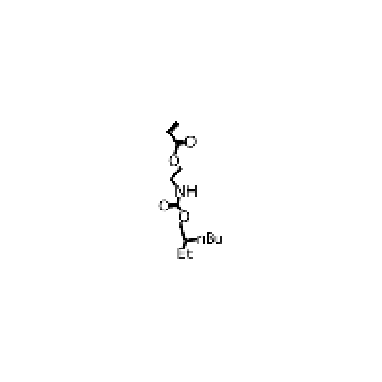 C=CC(=O)OCCNC(=O)OCC(CC)CCCC